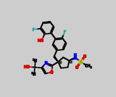 [2H]C([2H])(O)c1coc([C@@]2(Cc3ccc(F)c(-c4cccc(F)c4O)c3)CC[C@H](NS(C)(=O)=O)C2)n1